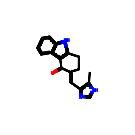 Cc1[nH]cnc1C=C1CCc2[nH]c3ccccc3c2C1=O